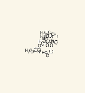 COc1ccc2c(Oc3ccc(NC(=O)c4c(C)n(C[C@H](C)OC(=O)[C@H](C)N)n(-c5ccccc5)c4=O)cc3F)ccnc2c1.O=C(O)c1ccccc1